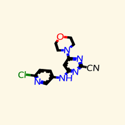 N#Cc1nc(Nc2ccc(Cl)nc2)cc(N2CCOCC2)n1